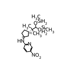 C[SiH2]OC(O[SiH2]C)C(C)(C)[C@H]1CC[C@H](Nc2ccc([N+](=O)[O-])cn2)C1